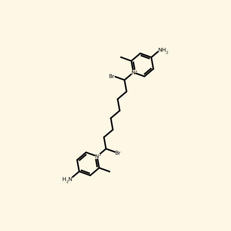 Cc1cc(N)cc[n+]1C(Br)CCCCCCC(Br)[n+]1ccc(N)cc1C